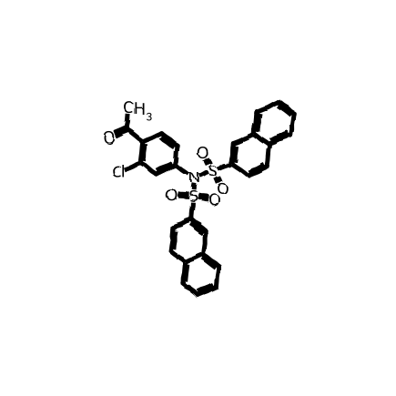 CC(=O)c1ccc(N(S(=O)(=O)c2ccc3ccccc3c2)S(=O)(=O)c2ccc3ccccc3c2)cc1Cl